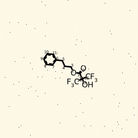 O=C(OCCCc1ccccc1)C(O)(C(F)(F)F)C(F)(F)F